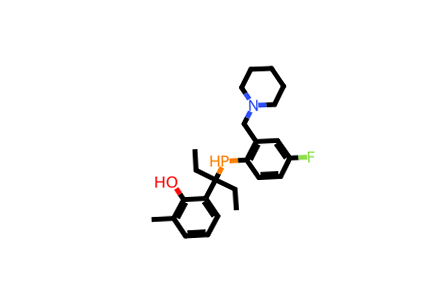 CCC(CC)(Pc1ccc(F)cc1CN1CCCCC1)c1cccc(C)c1O